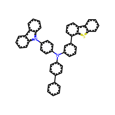 c1ccc(-c2ccc(N(c3ccc(-n4c5ccccc5c5ccccc54)cc3)c3cccc(-c4cccc5c4sc4ccccc45)c3)cc2)cc1